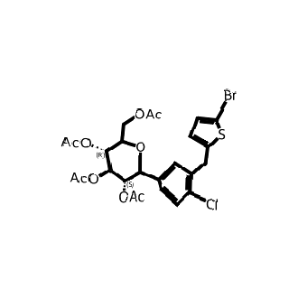 CC(=O)OCC1OC(c2ccc(Cl)c(Cc3ccc(Br)s3)c2)[C@H](OC(C)=O)C(OC(C)=O)[C@@H]1OC(C)=O